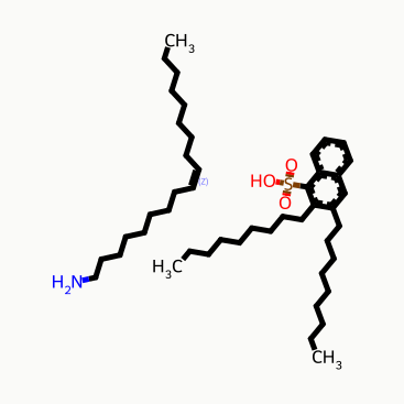 CCCCCCCC/C=C\CCCCCCCCN.CCCCCCCCCc1cc2ccccc2c(S(=O)(=O)O)c1CCCCCCCCC